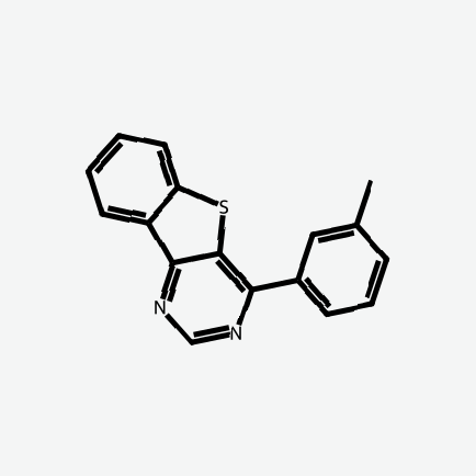 Cc1cccc(-c2ncnc3c2sc2ccccc23)c1